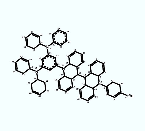 CC(C)(C)C1=CC=C(N2C3C=CC=CC3C(C3C4C=CC=CC4N(c4cc(N(c5ccccc5)C5C=CC=CC5)cc(N(C5C=CC=CC5)C5CC=CCC5)c4)C4C=CC=CC34)C3C=CC=CC32)CC1